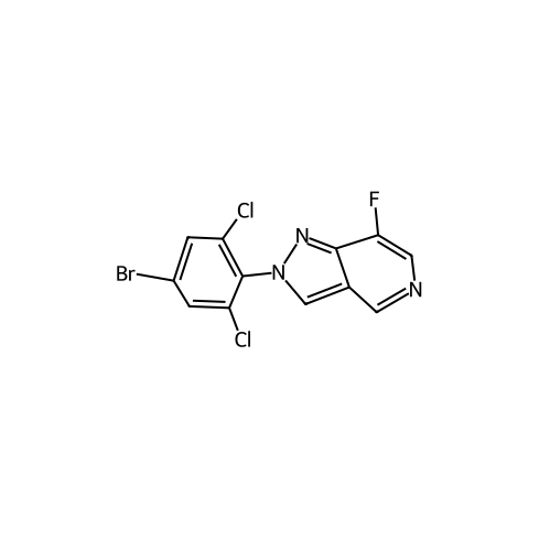 Fc1cncc2cn(-c3c(Cl)cc(Br)cc3Cl)nc12